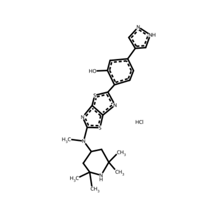 CN(c1nc2sc(-c3ccc(-c4cn[nH]c4)cc3O)nc2s1)C1CC(C)(C)NC(C)(C)C1.Cl